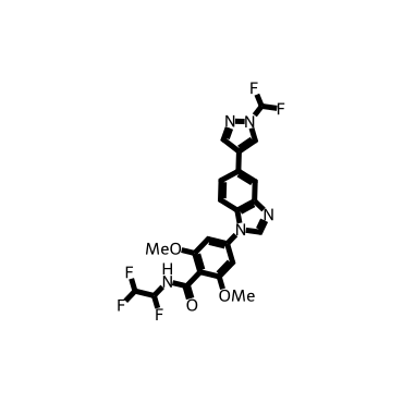 COc1cc(-n2cnc3cc(-c4cnn(C(F)F)c4)ccc32)cc(OC)c1C(=O)NC(F)C(F)F